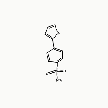 NS(=O)(=O)c1ccc(C2=CC=C[N]2)cc1